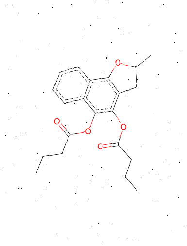 CCCC(=O)Oc1c2c(c3ccccc3c1OC(=O)CCC)OC(C)C2